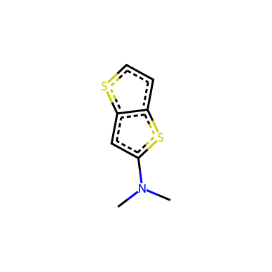 CN(C)c1cc2sccc2s1